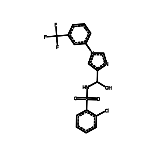 O=S(=O)(NC(O)c1cn(-c2cccc(C(F)(F)F)c2)cn1)c1ccccc1Cl